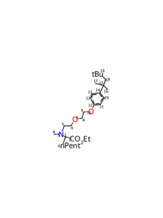 CCCCCC(C(=O)OCC)N(C)CCOCCOc1ccc(C(C)(C)CC(C)(C)C)cc1